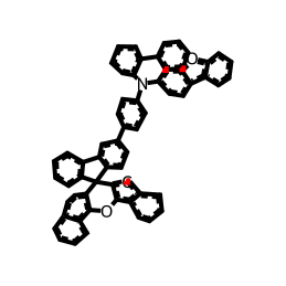 c1ccc(-c2ccccc2N(c2ccc(-c3ccc4c(c3)-c3ccccc3C43c4ccc5ccccc5c4Oc4c3ccc3ccccc43)cc2)c2ccc3c(c2)oc2ccccc23)cc1